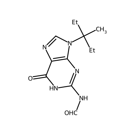 CCC(C)(CC)n1cnc2c(=O)[nH]c(NC=O)nc21